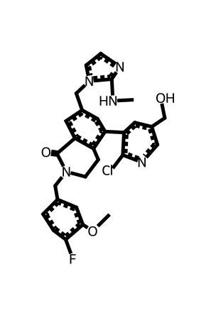 CNc1nccn1Cc1cc2c(c(-c3cc(CO)cnc3Cl)c1)CCN(Cc1ccc(F)c(OC)c1)C2=O